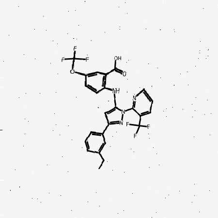 CCc1cccc(-c2cc(Nc3ccc(OC(F)(F)F)cc3C(=O)O)n(-c3ncccc3C(F)(F)F)n2)c1